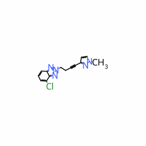 Cn1ccc(C#CCCn2nc3cccc(Cl)c3n2)n1